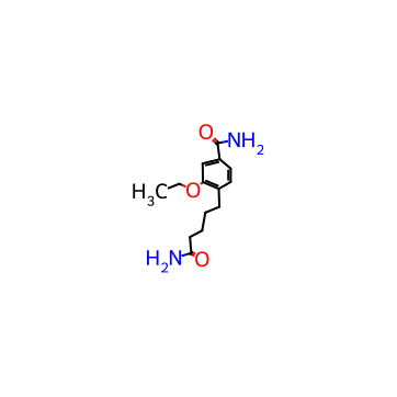 CCOc1cc(C(N)=O)ccc1CCCCC(N)=O